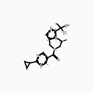 C[C@H]1CN(C(=O)c2cnc(C3CC3)nc2)Cc2cnc(C(C)(O)C(F)(F)F)n21